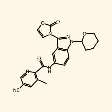 Cc1cc(C#N)cnc1C(=O)Nc1ccc2c(c1)c(-n1ccoc1=O)nn2C1CCCCO1